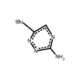 CC(C)(C)c1cnc(N)nn1